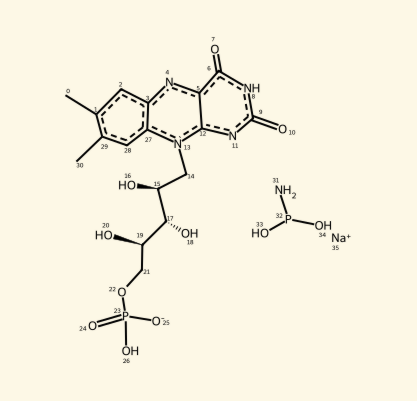 Cc1cc2nc3c(=O)[nH]c(=O)nc-3n(C[C@H](O)[C@H](O)[C@H](O)COP(=O)([O-])O)c2cc1C.NP(O)O.[Na+]